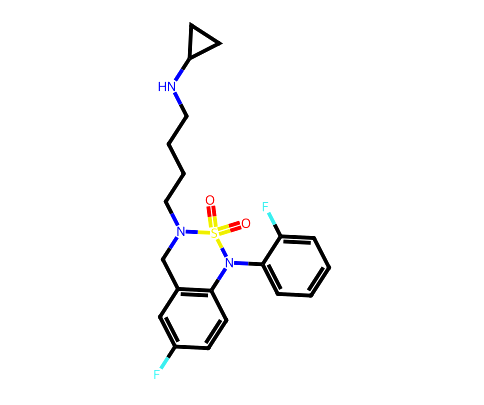 O=S1(=O)N(CCCCNC2CC2)Cc2cc(F)ccc2N1c1ccccc1F